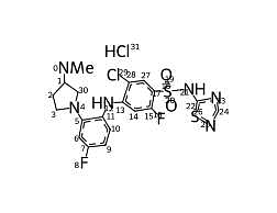 CNC1CCN(c2cc(F)ccc2Nc2cc(F)c(S(=O)(=O)Nc3ncns3)cc2Cl)C1.Cl